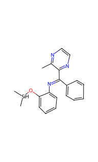 Cc1nccnc1C(=Nc1ccccc1O[SiH](C)C)c1ccccc1